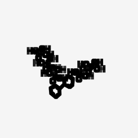 O=P(O)(O)O.O=P(O)(O)O.O=P(O)(O)O.O=P(O)(O)O.O=P(O)(O)O.c1ccc(-c2ccccc2)cc1